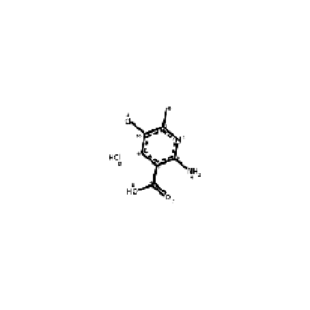 Cc1nc(N)c(C(=O)O)cc1Cl.Cl